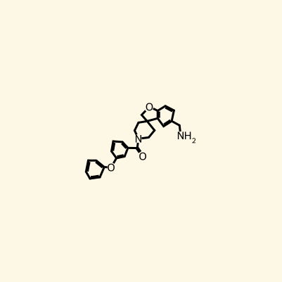 NCc1ccc2c(c1)C1(CCN(C(=O)c3cccc(Oc4ccccc4)c3)CC1)CO2